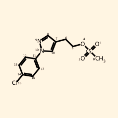 CS(=O)(=O)OCCc1cnn(-c2ccc(Cl)cc2)c1